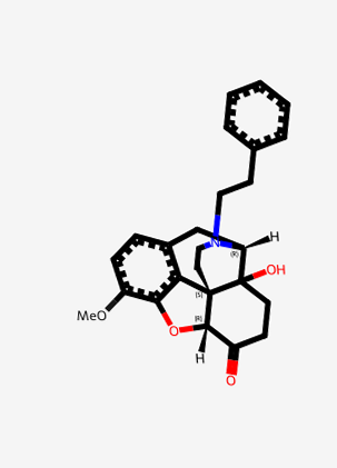 COc1ccc2c3c1O[C@H]1C(=O)CCC4(O)[C@@H](C2)N(CCc2ccccc2)CC[C@]314